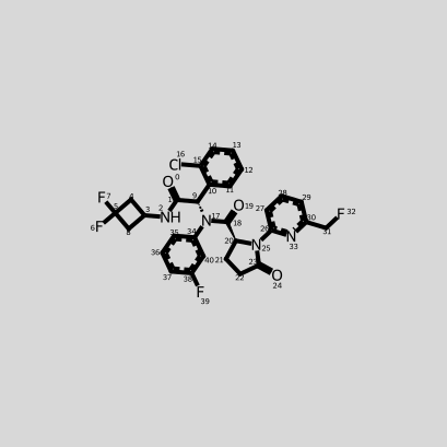 O=C(NC1CC(F)(F)C1)[C@H](c1ccccc1Cl)N(C(=O)[C@@H]1CCC(=O)N1c1cccc(CF)n1)c1cccc(F)c1